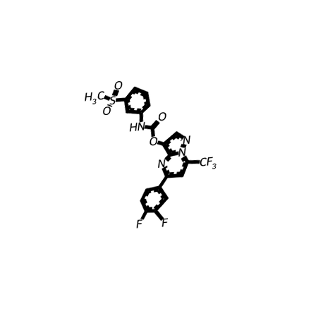 CS(=O)(=O)c1cccc(NC(=O)Oc2cnn3c(C(F)(F)F)cc(-c4ccc(F)c(F)c4)nc23)c1